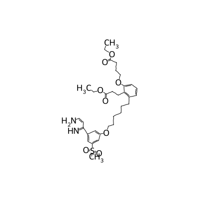 CCOC(=O)CCCOc1cccc(CCCCCCOc2cc(C(=N)/C=C\N)cc(S(C)(=O)=O)c2)c1CCC(=O)OCC